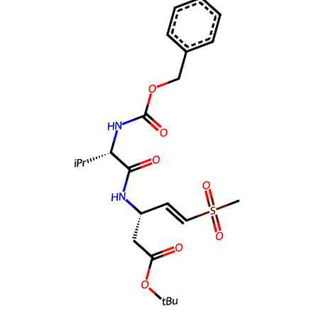 CC(C)[C@H](NC(=O)OCc1ccccc1)C(=O)N[C@H](/C=C/S(C)(=O)=O)CC(=O)OC(C)(C)C